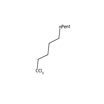 CCCCCCCC[CH]C(Cl)(Cl)Cl